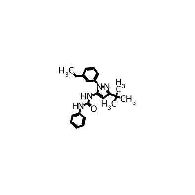 CCc1cccc(-n2nc(C(C)(C)C)cc2NC(=O)Nc2ccccc2)c1